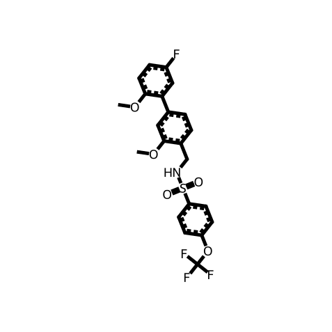 COc1cc(-c2cc(F)ccc2OC)ccc1CNS(=O)(=O)c1ccc(OC(F)(F)F)cc1